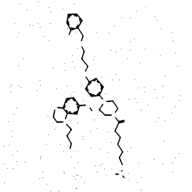 COCCCN1CCOc2ccc(OC[C@H]3CN(C(=O)CCCCCON(O)O)CCN3c3ccc(OCCCOCc4ccccc4OC)cc3)cc21